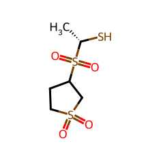 C[C@H](S)S(=O)(=O)C1CCS(=O)(=O)C1